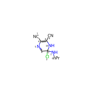 CCCNC1(Cl)C=NC(C#N)=C(C#N)N1